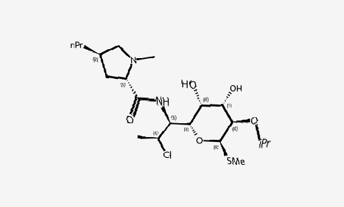 CCC[C@@H]1C[C@@H](C(=O)N[C@@H]([C@H]2O[C@H](SC)[C@H](OC(C)C)[C@@H](O)[C@H]2O)[C@H](C)Cl)N(C)C1